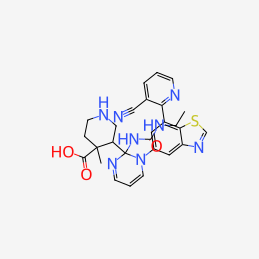 CCNC(=O)NC1(C2CNCCC2(C)C(=O)O)N=CC=CN1c1cc(-c2ncccc2C#N)c2scnc2c1